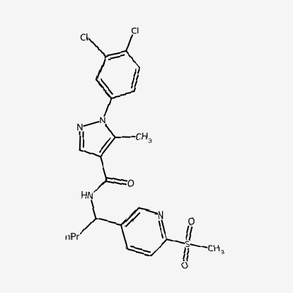 CCCC(NC(=O)c1cnn(-c2ccc(Cl)c(Cl)c2)c1C)c1ccc(S(C)(=O)=O)nc1